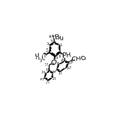 Cc1cc(C(C)(C)C)cc(Pc2ccccc2C=O)c1OCc1ccccc1